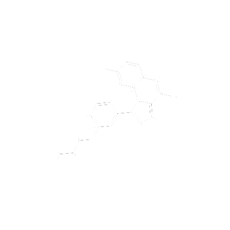 Cc1ccc2nc(C)c3nnc(-c4ccnc(OCCCO)c4)n3c2n1